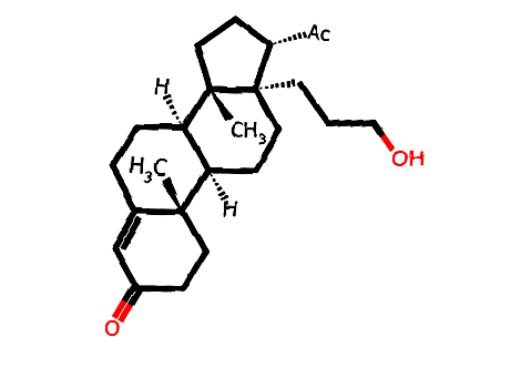 CC(=O)[C@H]1CC[C@@]2(C)[C@@H]3CCC4=CC(=O)CC[C@@]4(C)[C@@H]3CC[C@]12CCCO